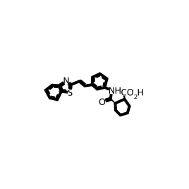 O=C(O)[C@H]1CCCC[C@H]1C(=O)Nc1cccc(C=Cc2nc3ccccc3s2)c1